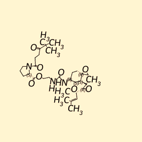 CO[C@H]1[C@H](C2(C)O[C@@H]2CC=C(C)C)[C@]2(CC[C@H]1NC(=O)NCCOC(=O)[C@@H]1CCCN1C(=O)CCC(=O)C(C)(C)C)CO2